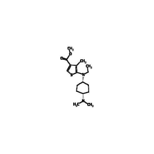 CCN(c1scc(C(=O)OC)c1C)[C@H]1CC[C@@H](N(C)C)CC1